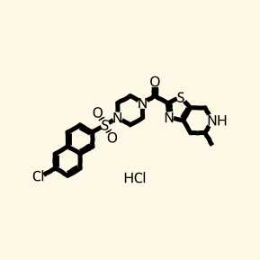 CC1Cc2nc(C(=O)N3CCN(S(=O)(=O)c4ccc5cc(Cl)ccc5c4)CC3)sc2CN1.Cl